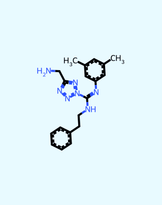 Cc1cc(C)cc(N=C(NCCc2ccccc2)n2nnc(CN)n2)c1